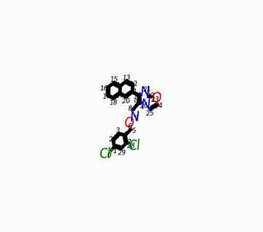 Clc1ccc(CON=Cc2c(-c3ccc4ccccc4c3)nc3occn23)c(Cl)c1